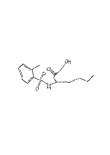 CCCCC(NS(=O)(=O)c1ccccc1C)C(=O)O